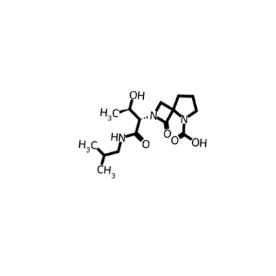 CC(C)CNC(=O)[C@H]([C@@H](C)O)N1CC2(CCCN2C(=O)O)C1=O